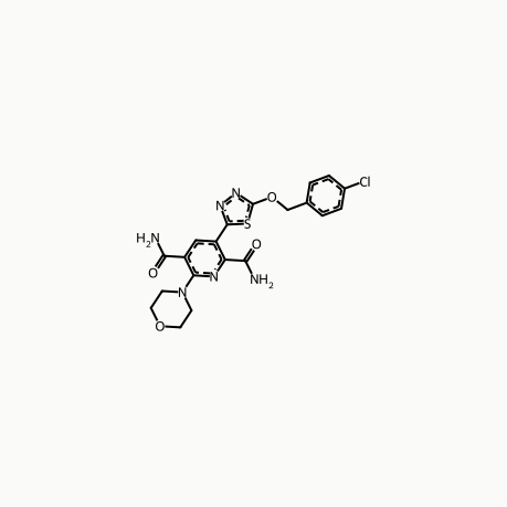 NC(=O)c1cc(-c2nnc(OCc3ccc(Cl)cc3)s2)c(C(N)=O)nc1N1CCOCC1